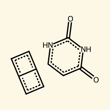 O=c1cc[nH]c(=O)[nH]1.c1cc2ccc1-2